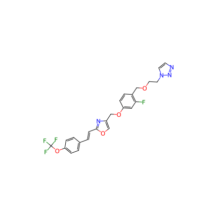 Fc1cc(OCc2coc(/C=C/c3ccc(OC(F)(F)F)cc3)n2)ccc1COCCn1ccnn1